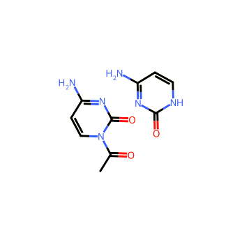 CC(=O)n1ccc(N)nc1=O.Nc1cc[nH]c(=O)n1